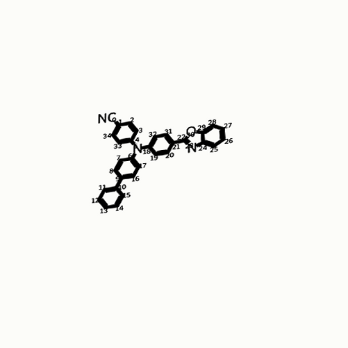 N#Cc1ccc(N(c2ccc(-c3ccccc3)cc2)c2ccc(-c3nc4ccccc4o3)cc2)cc1